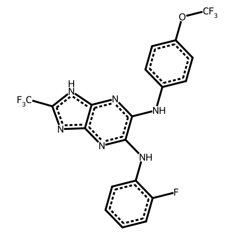 Fc1ccccc1Nc1nc2nc(C(F)(F)F)[nH]c2nc1Nc1ccc(OC(F)(F)F)cc1